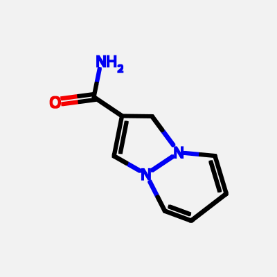 NC(=O)C1=CN2C=CC=CN2C1